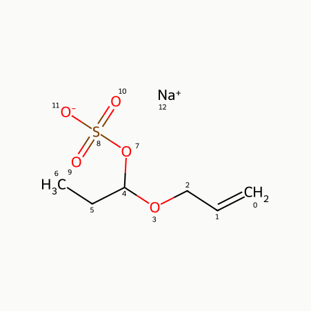 C=CCOC(CC)OS(=O)(=O)[O-].[Na+]